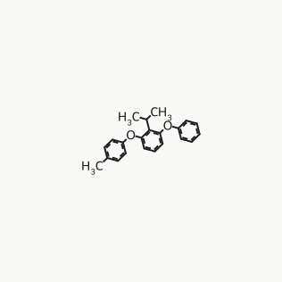 Cc1ccc(Oc2cccc(Oc3ccccc3)c2C(C)C)cc1